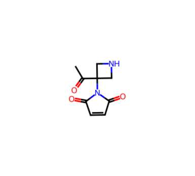 CC(=O)C1(N2C(=O)C=CC2=O)CNC1